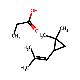 CC(C)=CC1CC1(C)C.CCC(=O)O